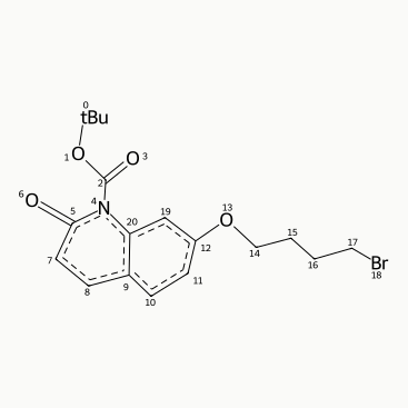 CC(C)(C)OC(=O)n1c(=O)ccc2ccc(OCCCCBr)cc21